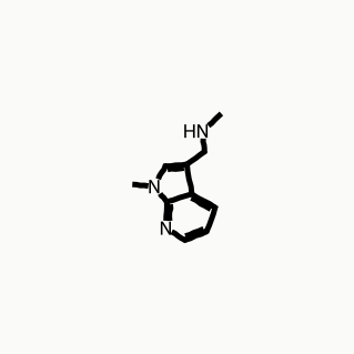 CNCc1cn(C)c2ncccc12